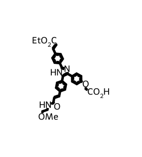 CCOC(=O)C=Cc1ccc(-c2nc(-c3ccc(OCC(=O)O)cc3)c(-c3ccc(C=CC(=O)NCCOC)cc3)[nH]2)cc1